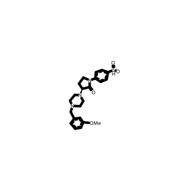 COc1cccc(CN2CCN([C@H]3CCN(c4ccc([SH](=O)=O)cc4)C3=O)CC2)c1